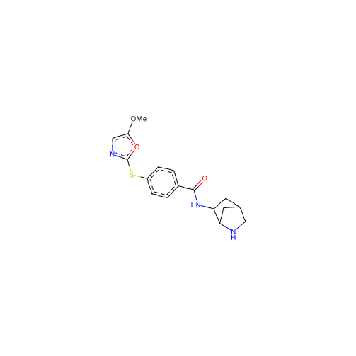 COc1cnc(Sc2ccc(C(=O)NC3CC4CNC3C4)cc2)o1